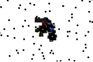 CON(C)C(=O)[C@@H]1CCN(Cc2ccccc2)C[C@@H]1c1ccc(F)c(F)c1